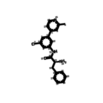 Cc1cc(-c2cc(Cl)cc(NC(=O)[C@@H](N)Cc3ccccc3)c2)ccn1